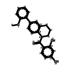 COc1ccccc1-c1ccc2c(c1)CCCN2C(=O)c1ccc(O)cc1O